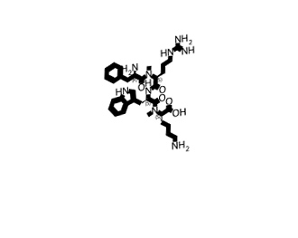 CN(C(=O)[C@H](N)Cc1ccccc1)[C@@H](CCCNC(=N)N)C(=O)N[C@@H](Cc1c[nH]c2ccccc12)C(=O)N(C)[C@@H](CCCCN)C(=O)O